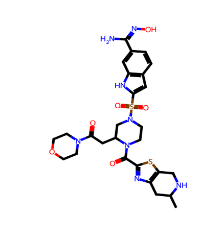 CC1Cc2nc(C(=O)N3CCN(S(=O)(=O)c4cc5ccc(/C(N)=N\O)cc5[nH]4)CC3CC(=O)N3CCOCC3)sc2CN1